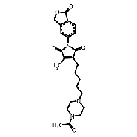 CC(=O)N1CCN(CCCCCC2=C(C)C(=O)N(c3ccc4c(c3)COC4=O)C2=O)CC1